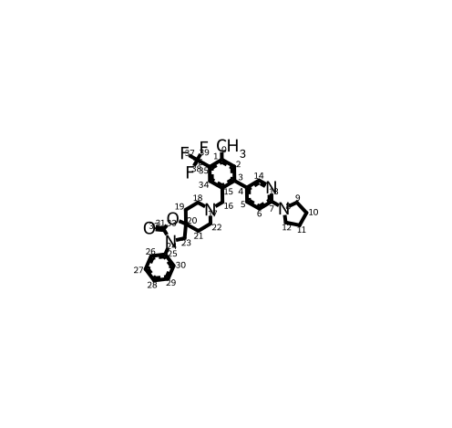 Cc1cc(-c2ccc(N3CCCC3)nc2)c(CN2CCC3(CC2)CN(c2ccccc2)C(=O)O3)cc1C(F)(F)F